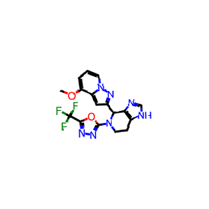 COc1cccn2nc(C3c4nc[nH]c4CCN3c3nnc(C(F)(F)F)o3)cc12